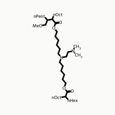 CCCCCCCCC(CCCCCC)C(=O)OCCCCCCN(CCCCCCOC(=O)C(CCCCCCCC)C(CCCCC)COC)CCN(C)C